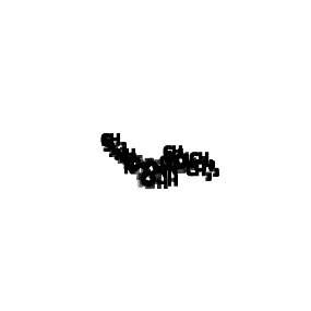 COc1ccc(C(C)(C)C)cc1NC(=O)Nc1ccc(-c2ccc(CNCCSC)nc2)c2ccccc12